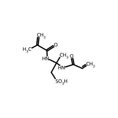 C=CC(=O)NC(C)(CS(=O)(=O)O)NC(=O)C(=C)C